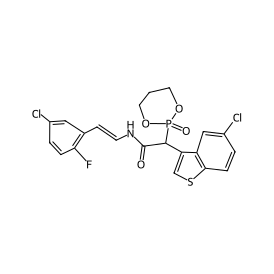 O=C(N/C=C/c1cc(Cl)ccc1F)C(c1csc2ccc(Cl)cc12)P1(=O)OCCCO1